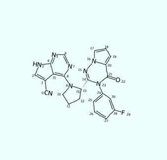 N#Cc1c[nH]c2ncnc(N3CCC[C@H]3c3nn4cccc4c(=O)n3-c3cccc(F)c3)c12